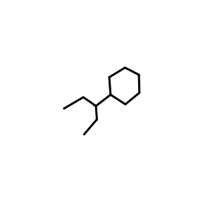 CC[C](CC)C1CCCCC1